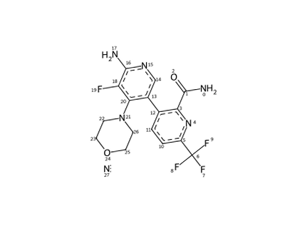 NC(=O)c1nc(C(F)(F)F)ccc1-c1cnc(N)c(F)c1N1CCOCC1.[N]